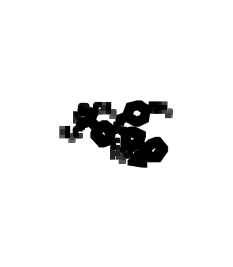 Cc1ccc(-c2c(C)noc2C)cc1N(CC1CCC(N)CC1)c1ccc(C2(C3(C#N)CC3)C=CC=CC2)cc1